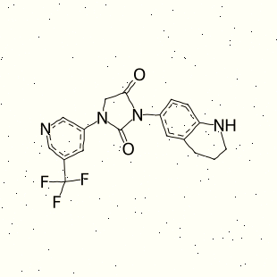 O=C1CN(c2cncc(C(F)(F)F)c2)C(=O)N1c1ccc2c(c1)CCCN2